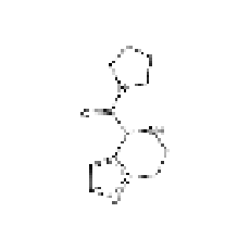 O=C(C1NCCc2occc21)N1CCCC1